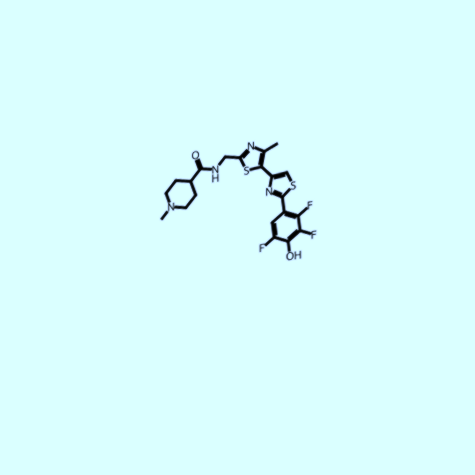 Cc1nc(CNC(=O)C2CCN(C)CC2)sc1-c1csc(-c2cc(F)c(O)c(F)c2F)n1